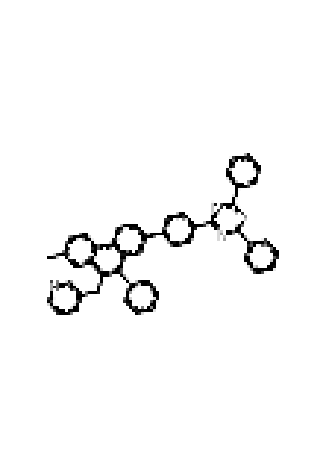 Cc1ccc2c(c1)c(Cc1cccnc1)c(-c1ccccc1)c1cc(-c3ccc(-c4nc(-c5ccccc5)nc(-c5ccccc5)n4)cc3)ccc12